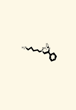 C=N/C(=C\N(N)CCCCCN)c1ccccc1